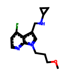 COCCCn1cc(CNC2CC2)c2c(F)ccnc21